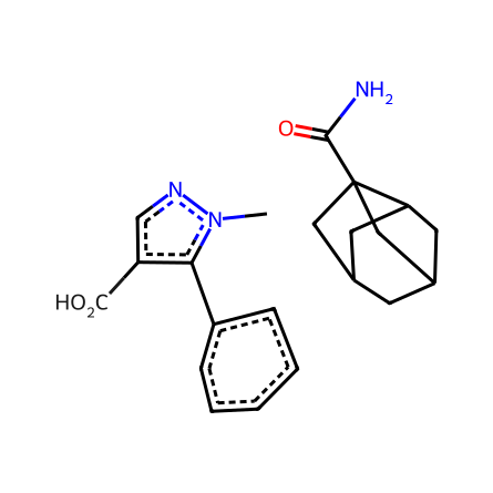 Cn1ncc(C(=O)O)c1-c1ccccc1.NC(=O)C12CC3CC(CC1C3)C2